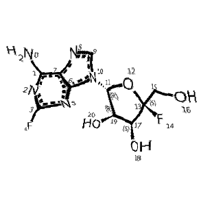 Nc1nc(F)nc2c1ncn2[C@@H]1O[C@](F)(CO)[C@@H](O)[C@H]1O